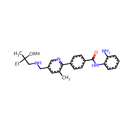 CCC(C)(CNCc1cnc(-c2ccc(C(=O)Nc3ccccc3N)cc2)c(C)c1)OC